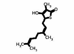 CC(C)=CCCC(C)=CCC1SC(=O)C(C)=C1O